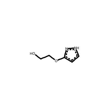 OCCOc1cc[nH]n1